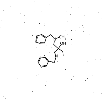 CN(Cc1ccccc1)CC1(O)CCN(Cc2ccccc2)C1